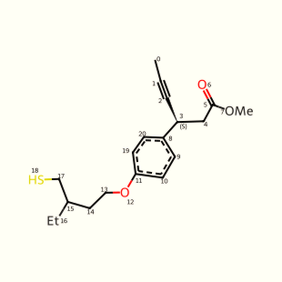 CC#C[C@@H](CC(=O)OC)c1ccc(OCCC(CC)CS)cc1